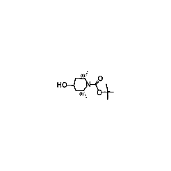 C[C@@H]1CC(O)C[C@H](C)N1C(=O)OC(C)(C)C